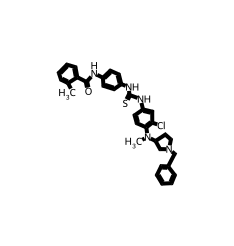 Cc1ccccc1C(=O)Nc1ccc(NC(=S)Nc2ccc(N(C)C3CCN(Cc4ccccc4)C3)c(Cl)c2)cc1